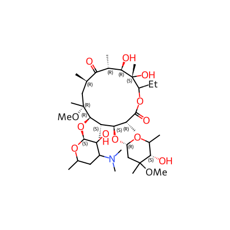 CCC1OC(=O)[C@H](C)[C@@H](O[C@H]2CC(C)(OC)[C@@H](O)C(C)O2)[C@H](C)[C@@H](O[C@@H]2OC(C)CC(N(C)C)C2O)[C@](C)(OC)C[C@@H](C)C(=O)[C@H](C)[C@@H](O)[C@]1(C)O